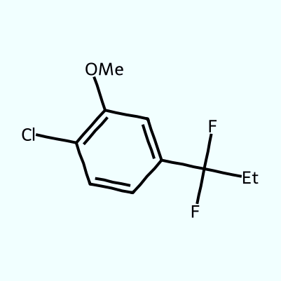 CCC(F)(F)c1ccc(Cl)c(OC)c1